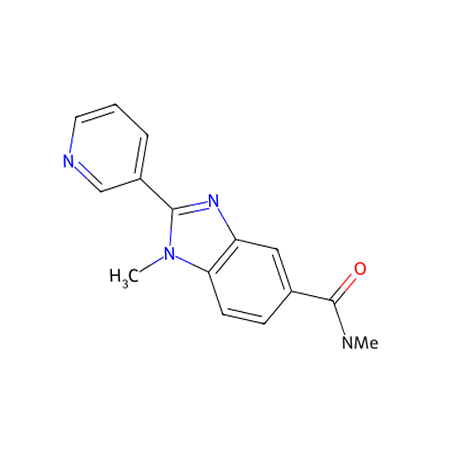 CNC(=O)c1ccc2c(c1)nc(-c1cccnc1)n2C